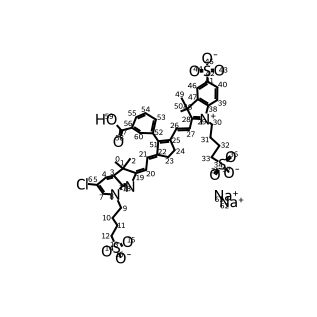 CC1(C)C2=CC(Cl)=CN(CCCCS(=O)(=O)[O-])C2=N/C1=C/C=C1\CCC(/C=C/C2=[N+](CCCCS(=O)(=O)[O-])c3ccc(S(=O)(=O)[O-])cc3C2(C)C)=C1c1cccc(C(=O)O)c1.[Na+].[Na+]